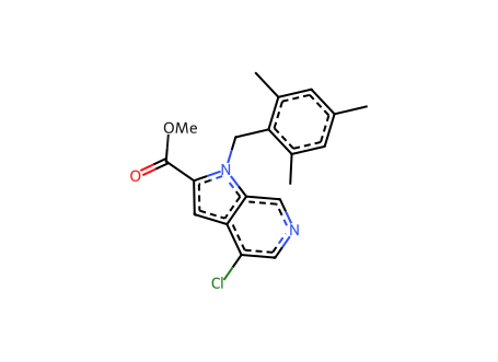 COC(=O)c1cc2c(Cl)cncc2n1Cc1c(C)cc(C)cc1C